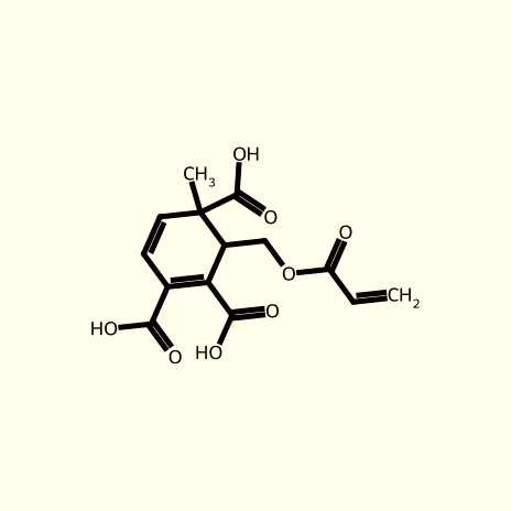 C=CC(=O)OCC1C(C(=O)O)=C(C(=O)O)C=CC1(C)C(=O)O